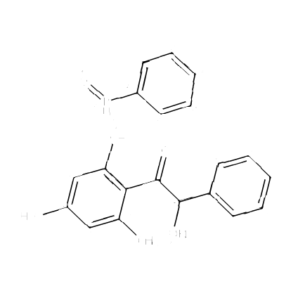 Cc1cc(C)c(C(=O)C(O)c2ccccc2)c(C)c1.O=[PH2]c1ccccc1